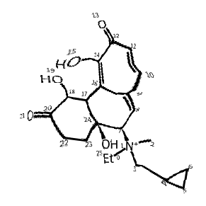 CC[N+](C)(CC1CC1)[C@@H]1C=C2C=CC(=O)C(O)=C2C2C(O)C(=O)CC[C@]21O